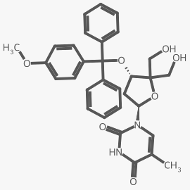 COc1ccc(C(O[C@H]2C[C@H](n3cc(C)c(=O)[nH]c3=O)OC2(CO)CO)(c2ccccc2)c2ccccc2)cc1